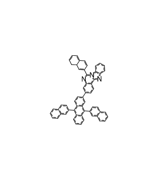 C1=CCC2C=C(c3nc4cc(-c5ccc6c(-c7ccc8ccccc8c7)c7ccccc7c(-c7ccc8ccccc8c7)c6c5)ccc4c4nc5ccccc5n34)C=CC2=C1